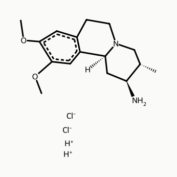 COc1cc2c(cc1OC)[C@@H]1C[C@H](N)[C@@H](C)CN1CC2.[Cl-].[Cl-].[H+].[H+]